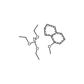 CCO[SiH](OCC)OCC.COc1cccc2ccccc12